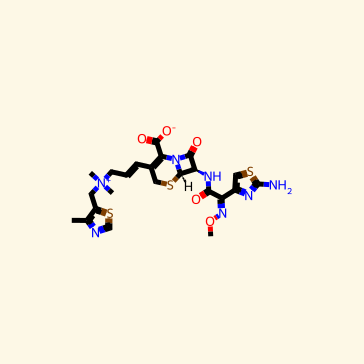 CO/N=C(\C(=O)N[C@@H]1C(=O)N2C(C(=O)[O-])=C(/C=C/C[N+](C)(C)Cc3scnc3C)CS[C@H]12)c1csc(N)n1